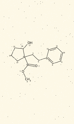 COC(=O)C1(CCc2ccccc2)CCCC1O